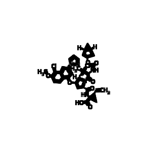 C=C[C@@H]1C[C@]1(NC(=O)[C@@H]1C[C@@H](Oc2cc(-n3cccn3)cc3c(Cl)c(OC)ccc23)CN1C(=O)[C@@H](NC(=O)O[C@@H]1C[C@@H]2C[C@@H]2C1)C(C)(C)C)C(=O)O